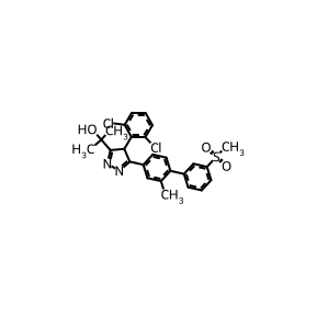 Cc1cc(C2=NN=C(C(C)(C)O)C2c2c(Cl)cccc2Cl)ccc1-c1cccc(S(C)(=O)=O)c1